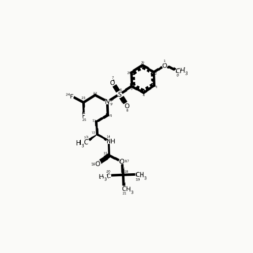 COc1ccc(S(=O)(=O)N(CC[C@H](C)NC(=O)OC(C)(C)C)CC(F)F)cc1